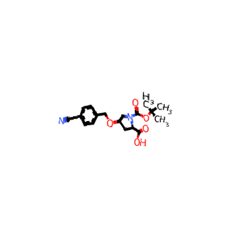 CC(C)(C)OC(=O)N1CC(OCc2ccc(C#N)cc2)CC1C(=O)O